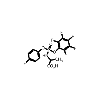 CC(NP(=O)(Oc1ccc(F)cc1)Oc1c(F)c(F)c(F)c(F)c1F)C(=O)O